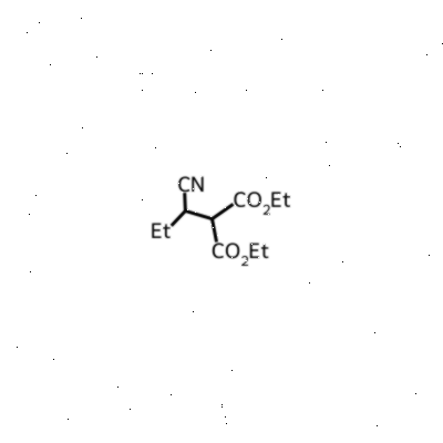 CCOC(=O)C(C(=O)OCC)C(C#N)CC